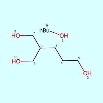 CCCCO.OCCCC(CO)CO